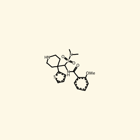 COc1ccccc1C(=O)NC(C1(c2cccs2)CCNCC1)S(=O)(=O)N(C)C